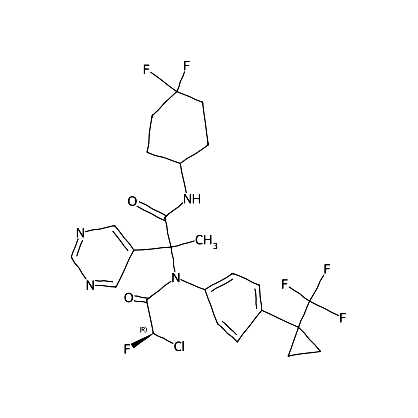 CC(C(=O)NC1CCC(F)(F)CC1)(c1cncnc1)N(C(=O)[C@H](F)Cl)c1ccc(C2(C(F)(F)F)CC2)cc1